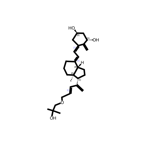 C=C(/C=C/COCC(C)(C)O)[C@H]1CC[C@H]2/C(=C/C=C3/C[C@@H](O)C[C@H](O)C3=C)CCC[C@]12C